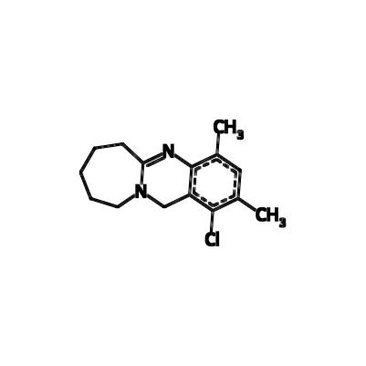 Cc1cc(C)c2c(c1Cl)CN1CCCCCC1=N2